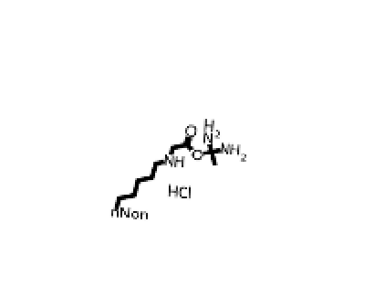 CCCCCCCCCCCCCCNCC(=O)OC(C)(N)N.Cl